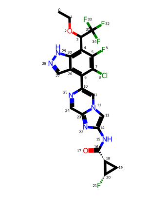 CCOC(c1c(F)c(Cl)c(-c2cn3cc(NC(=O)[C@@H]4C[C@@H]4F)nc3cn2)c2cn[nH]c12)C(F)(F)F